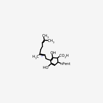 CCCCCC1C=C(O)C(C/C=C(\C)CCC=C(C)C)=C(O)C1C(=O)O